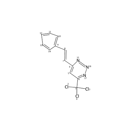 ClC(Cl)(Cl)c1cc(C=Cc2ccccc2)nnn1